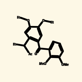 CCOc1cc(C(=O)c2cccc(OC)c2OC)c(C(CC)C(C)=O)cc1OCC